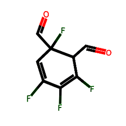 O=CC1C(F)=C(F)C(F)=CC1(F)C=O